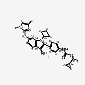 Cc1cn(C)c(Oc2ccc3c(N)c(-c4ccc(NC(=O)OC(C)C5CC5)cc4)n(C4CCC4)c3c2)n1